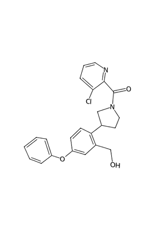 O=C(c1ncccc1Cl)N1CCC(c2ccc(Oc3ccccc3)cc2CO)C1